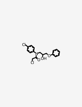 O=C(CCl)N(CC(O)COc1ccccc1)c1ccc(Cl)cc1